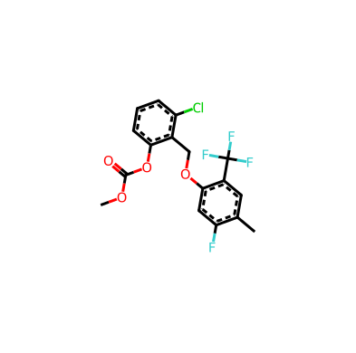 COC(=O)Oc1cccc(Cl)c1COc1cc(F)c(C)cc1C(F)(F)F